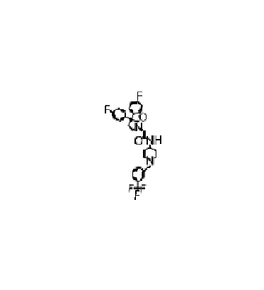 O=C(CN1CCC(c2ccc(F)cc2)(c2ccc(F)cc2)C1=O)NC1CCN(Cc2cccc(C(F)(F)F)c2)CC1